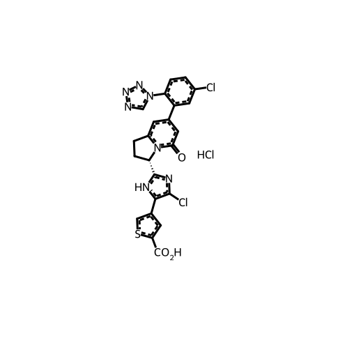 Cl.O=C(O)c1cc(-c2[nH]c([C@@H]3CCc4cc(-c5cc(Cl)ccc5-n5cnnn5)cc(=O)n43)nc2Cl)cs1